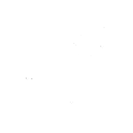 COC(=O)C(NC(=O)OC(C)(C)C)c1ccc(-c2c(OC)cccc2OC)cc1